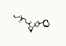 CCOC(=O)CCC(=O)N1CCCC1c1nnc(-c2ccncc2)o1